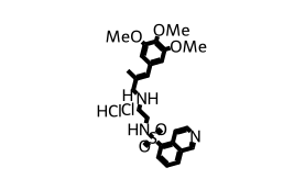 COc1cc(C=C(C)CNCCNS(=O)(=O)c2cccc3cnccc23)cc(OC)c1OC.Cl.Cl